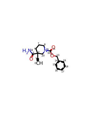 C#CC1(C(N)=O)CCCN(C(=O)OCc2ccccc2)C1